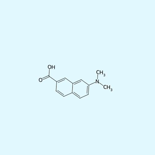 CN(C)c1ccc2ccc(C(=O)O)cc2c1